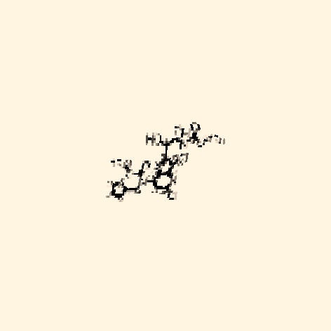 C[C@H](NC(=O)OC(C)(C)C)C(O)c1sc2c(N(Cc3cccs3)C(=O)OC(C)(C)C)cc(Cl)nc2c1Cl